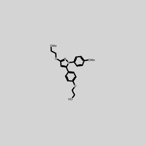 COCCOc1cc(-c2ccc(OCCO)cc2)n(-c2ccc(OC)cc2)n1